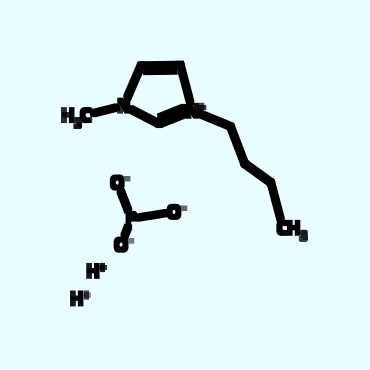 CCCC[n+]1ccn(C)c1.[H+].[H+].[O-]P([O-])[O-]